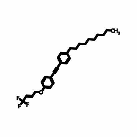 CCCCCCCCCCc1ccc(C#Cc2ccc(OC/C=C/C(F)(F)F)cc2)cc1